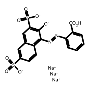 O=C(O)c1ccccc1N=Nc1c([O-])c(S(=O)(=O)[O-])cc2cc(S(=O)(=O)[O-])ccc12.[Na+].[Na+].[Na+]